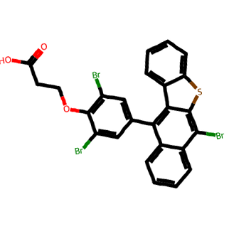 O=C(O)CCOc1c(Br)cc(-c2c3ccccc3c(Br)c3sc4ccccc4c23)cc1Br